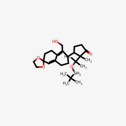 CC(C)(C)[SiH2]OC(C)(C)C1(C)C(=O)CCC1C1CCC2=CC3(CCC2=C1CO)OCCO3